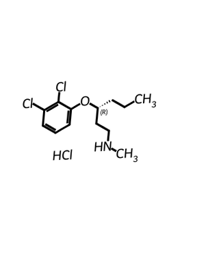 CCC[C@H](CCNC)Oc1cccc(Cl)c1Cl.Cl